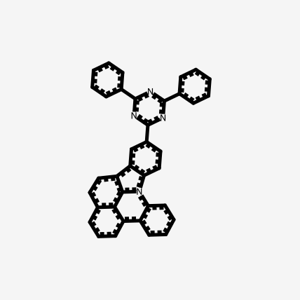 c1ccc(-c2nc(-c3ccccc3)nc(-c3ccc4c(c3)c3ccc5cccc6c7ccccc7n4c3c56)n2)cc1